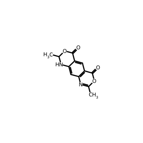 Cc1nc2cc3c(cc2c(=O)o1)C(=O)OC(C)N3